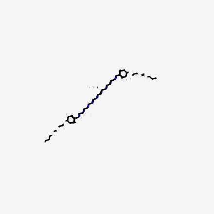 CC1=C(/C=C/C(C)=C/C=C/C(C)=C/C=C/C=C(C)/C=C/C=C(C)/C=C/C2=C(C)C(=O)C(OC(=O)CNC(=O)NCCCC(=O)O)CC2(C)C)C(C)(C)CC(OC(=O)CNC(=O)NCCCC(=O)O)C1=O.[NaH]